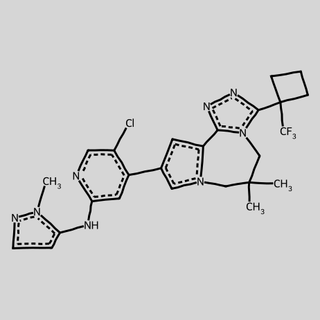 Cn1nccc1Nc1cc(-c2cc3n(c2)CC(C)(C)Cn2c-3nnc2C2(C(F)(F)F)CCC2)c(Cl)cn1